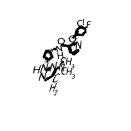 Cc1cnc(N[C@H]2CC[C@@H](CNC(=O)c3cccnc3Oc3ccc(F)c(Cl)c3)C2)nc1N(C)C